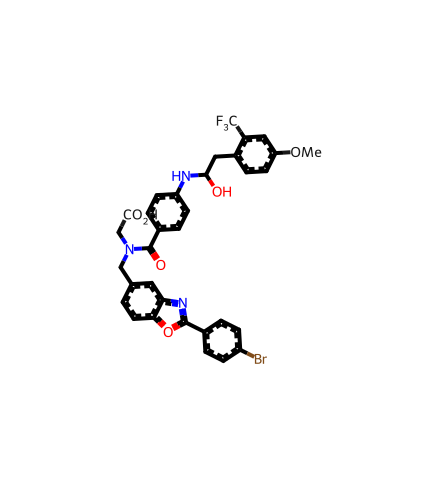 COc1ccc(CC(O)Nc2ccc(C(=O)N(CC(=O)O)Cc3ccc4oc(-c5ccc(Br)cc5)nc4c3)cc2)c(C(F)(F)F)c1